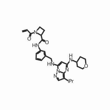 C=CC(=O)N1CCC1C(=O)Nc1cccc(CNc2cc(NC3CCOCC3)nc3c(C(C)C)cnn23)c1